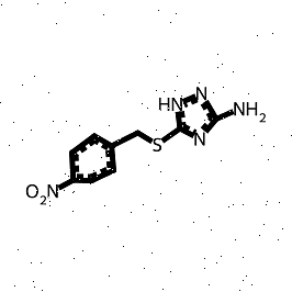 Nc1n[nH]c(SCc2ccc([N+](=O)[O-])cc2)n1